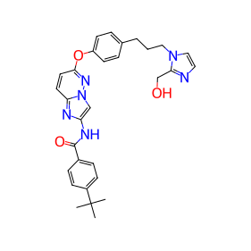 CC(C)(C)c1ccc(C(=O)Nc2cn3nc(Oc4ccc(CCCn5ccnc5CO)cc4)ccc3n2)cc1